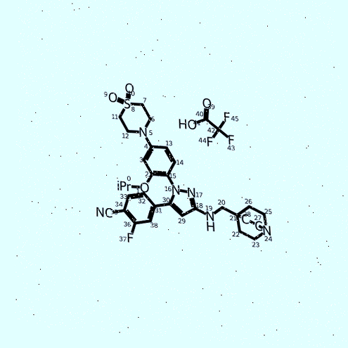 CC(C)Oc1cc(N2CCS(=O)(=O)CC2)ccc1-n1nc(NCC23CCN(CC2)CC3)cc1-c1ccc(C#N)c(F)c1.O=C(O)C(F)(F)F